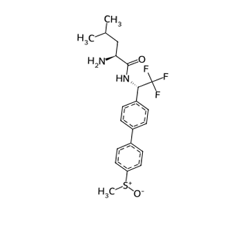 CC(C)C[C@H](N)C(=O)N[C@@H](c1ccc(-c2ccc([S+](C)[O-])cc2)cc1)C(F)(F)F